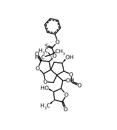 C[C@@H]1C(=O)OC([C@H](O)C23COC4OC(=O)C(OC(=S)Oc5ccccc5)C42[C@H](C(C)(C)C)[C@@H](O)C3OC=O)[C@@H]1O